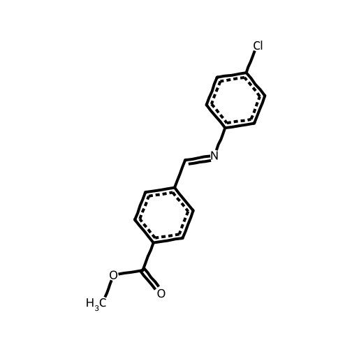 COC(=O)c1ccc(/C=N/c2ccc(Cl)cc2)cc1